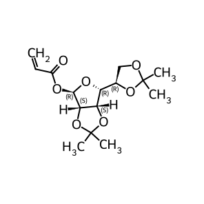 C=CC(=O)O[C@H]1O[C@H]([C@H]2COC(C)(C)O2)[C@@H]2OC(C)(C)O[C@H]12